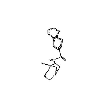 O=C(NC1CN2CC[C@H]1C2)c1ccc2ncccc2c1